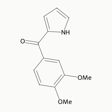 COc1ccc(C(=O)c2ccc[nH]2)cc1OC